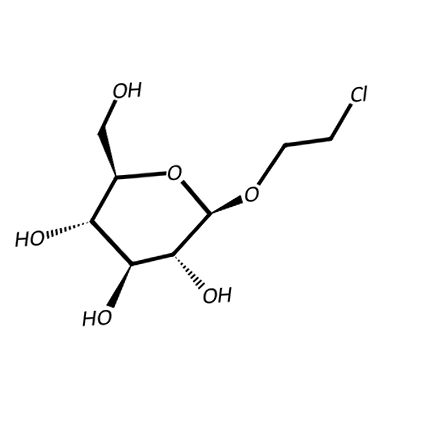 OC[C@H]1O[C@@H](OCCCl)[C@H](O)[C@@H](O)[C@@H]1O